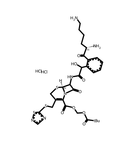 CC(C)(C)C(=O)OCOC(=O)C1=C(CSc2ncns2)CS[C@H]2C(NC(=O)C(O)c3ccccc3C(=O)[C@@H](N)CCCCN)C(=O)N12.Cl.Cl